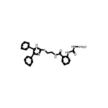 CCCCCCCNC(=O)Nc1ccccc1C(=O)NCCSc1nc(-c2ccccc2)c(-c2ccccc2)[nH]1